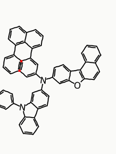 c1ccc(-c2cccc3cccc(-c4cccc(N(c5ccc6c(c5)oc5ccc7ccccc7c56)c5ccc6c7ccccc7n(-c7ccccc7)c6c5)c4)c23)cc1